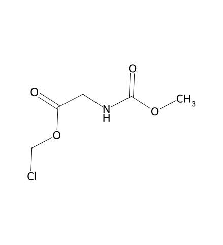 COC(=O)NCC(=O)OCCl